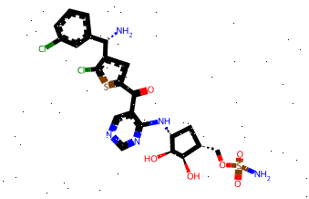 N[C@@H](c1cccc(Cl)c1)c1cc(C(=O)c2cncnc2N[C@@H]2C[C@H](COS(N)(=O)=O)[C@@H](O)[C@H]2O)sc1Cl